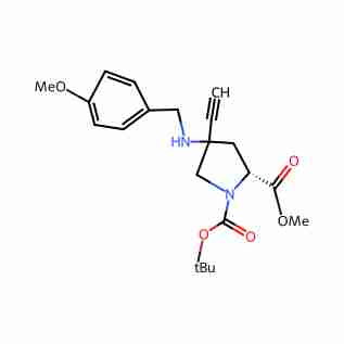 C#CC1(NCc2ccc(OC)cc2)C[C@H](C(=O)OC)N(C(=O)OC(C)(C)C)C1